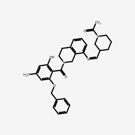 CC(=O)N1CCCC(/C=N\c2cccc3c2CN(C(=O)c2c(O)cc(C)cc2OCc2ccccc2)CC3)C1